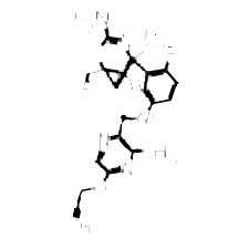 C#CCOc1cnc(C(=O)Nc2ccc(F)c([C@]3(C)N=C(N)S[C@@]4(CF)C[C@H]43)c2)c(C)n1